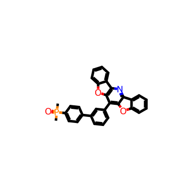 CP(C)(=O)c1ccc(-c2cccc(-c3c4oc5ccccc5c4nc4c3oc3ccccc34)c2)cc1